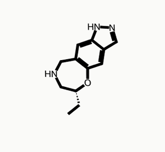 CC[C@@H]1CNCc2cc3[nH]ncc3cc2O1